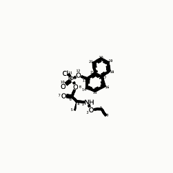 CCON[C@@H](C)C(=O)OP(=O)(Cl)Oc1cccc2ccccc12